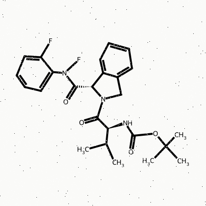 CC(C)[C@H](NC(=O)OC(C)(C)C)C(=O)N1Cc2ccccc2[C@H]1C(=O)N(F)c1ccccc1F